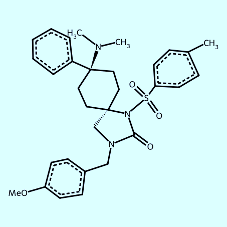 COc1ccc(CN2C[C@]3(CC[C@](c4ccccc4)(N(C)C)CC3)N(S(=O)(=O)c3ccc(C)cc3)C2=O)cc1